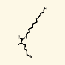 CC(C)CCCCCCCCCCOC(=O)C(C)CCCCBr